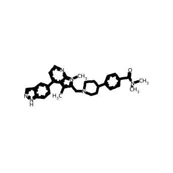 Cc1c(CN2CCC(c3ccc(C(=O)N(C)C)cc3)CC2)n(C)c2nccc(-c3ccc4[nH]ncc4c3)c12